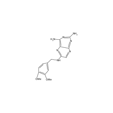 COc1ccc(CNc2cnc3nc(N)nc(N)c3n2)cc1OC